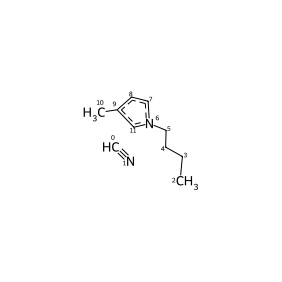 C#N.CCCCn1ccc(C)c1